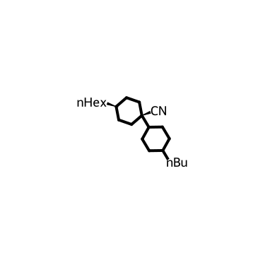 CCCCCC[C@H]1CC[C@](C#N)(C2CCC(CCCC)CC2)CC1